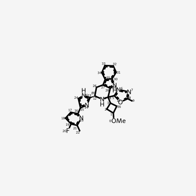 COC1CC(C2(c3nnc(C)o3)N[C@@H](c3nc(-c4ccc(F)c(C)n4)c[nH]3)Cc3c2[nH]c2ccccc32)C1